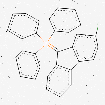 Clc1ccc2c(c1)C(=P(c1ccccc1)(c1ccccc1)c1ccccc1)c1ccccc1-2